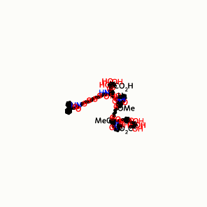 COc1cc2c(cc1OCCCCCOc1cc3c(cc1OC)C(=O)N1CCC[C@H]1[C@H](O)N3C(=O)OCc1ccc(O[C@@H]3O[C@H](C(=O)O)[C@@H](O)[C@H](O)[C@H]3O)c(NC(=O)CCOCCOCCOCCOCCNC(=O)OCC3c4ccccc4-c4ccccc43)c1)N(C(=O)OCc1ccc(O[C@@H]3O[C@H](C(=O)O)[C@@H](O)[C@H](O)[C@H]3O)cc1)[C@@H](O)[C@@H]1CCCN1C2=O